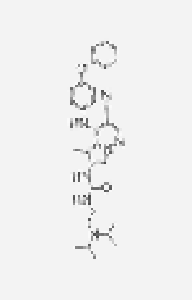 Cc1c(NC(=O)NCCN(C(C)C)C(C)C)cn2ncc(C#N)c(Nc3ccc(Oc4ccccc4)cc3)c12